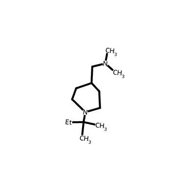 CCC(C)(C)N1CCC(CN(C)C)CC1